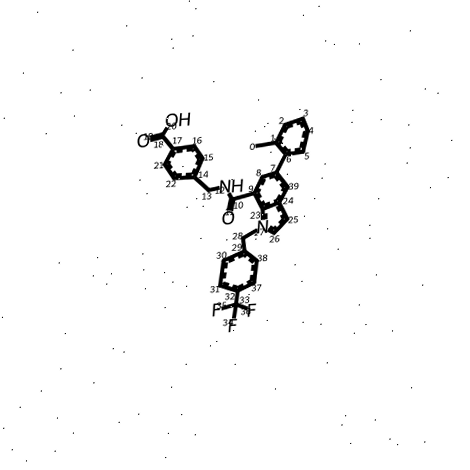 Cc1ccccc1-c1cc(C(=O)NCc2ccc(C(=O)O)cc2)c2c(ccn2Cc2ccc(C(F)(F)F)cc2)c1